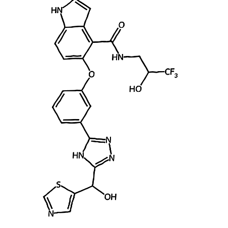 O=C(NCC(O)C(F)(F)F)c1c(Oc2cccc(-c3nnc(C(O)c4cncs4)[nH]3)c2)ccc2[nH]ccc12